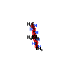 CCCNC(=O)CCOCCNC(=O)CCOCCNC(=O)CCOCCN(CCOCCC(=O)NCCOCCC(=O)NCCOCCC(=O)NCCC)C(=O)OC(C)(C)C